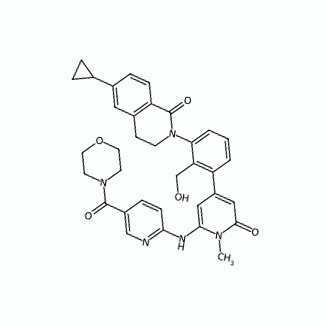 Cn1c(Nc2ccc(C(=O)N3CCOCC3)cn2)cc(-c2cccc(N3CCc4cc(C5CC5)ccc4C3=O)c2CO)cc1=O